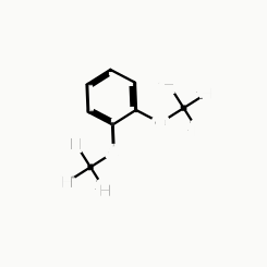 [2H]C([2H])([2H])Oc1ccccc1OC([2H])([2H])[2H]